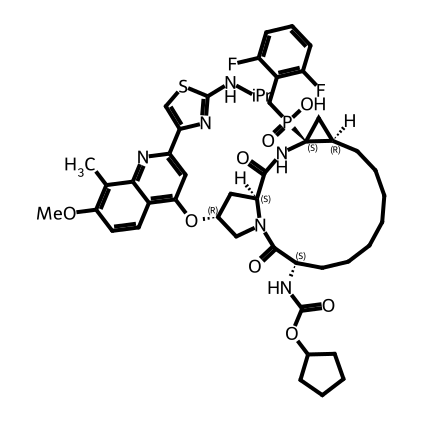 COc1ccc2c(O[C@@H]3C[C@H]4C(=O)N[C@]5(P(=O)(O)Cc6c(F)cccc6F)C[C@H]5CCCCCCC[C@H](NC(=O)OC5CCCC5)C(=O)N4C3)cc(-c3csc(NC(C)C)n3)nc2c1C